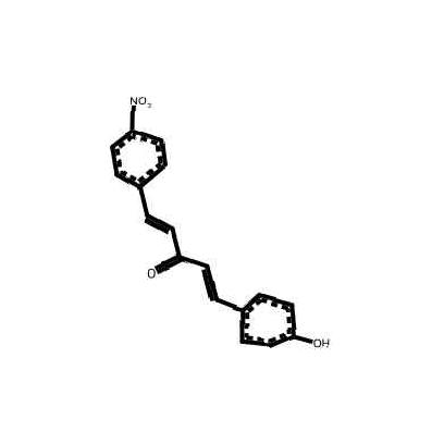 O=C(C=Cc1ccc(O)cc1)C=Cc1ccc([N+](=O)[O-])cc1